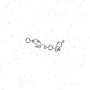 O[C@H](COc1ccc(-c2onc3cc(F)ccc23)cc1)CN1CCN(c2ccccc2)CC1